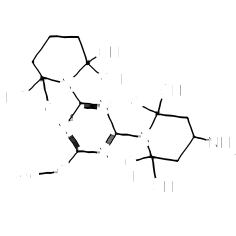 CCCCCCCCCCOc1nc(N2C(C)(C)CCCC2(C)C)nc(N2C(C)(C)CC(N)CC2(C)C)n1